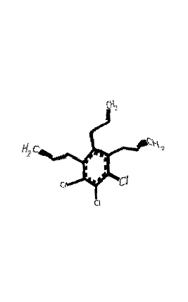 C=CCc1c(Cl)c(Cl)c(Cl)c(CC=C)c1CC=C